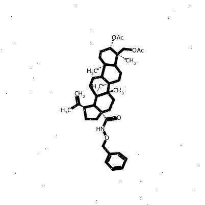 C=C(C)[C@@H]1CC[C@]2(C(=O)NOCc3ccccc3)CC[C@]3(C)C(CCC4[C@@]5(C)CC[C@H](OC(C)=O)[C@@](C)(COC(C)=O)C5CC[C@]43C)C12